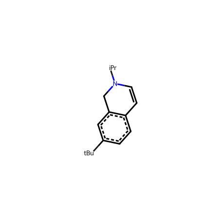 CC(C)N1C=Cc2ccc(C(C)(C)C)cc2C1